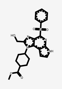 COC(=O)C1CCC(n2c(CO)nc3c(S(=O)(=O)c4ccccc4)nc4[nH]ccc4c32)CC1